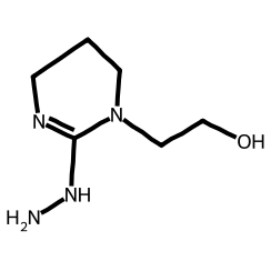 NNC1=NCCCN1CCO